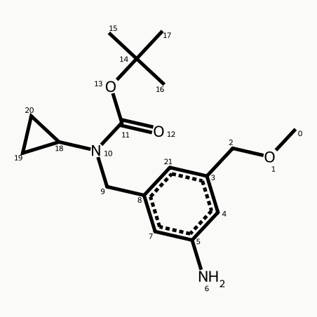 COCc1cc(N)cc(CN(C(=O)OC(C)(C)C)C2CC2)c1